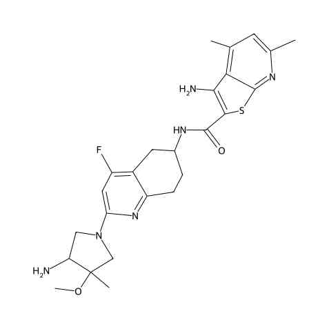 COC1(C)CN(c2cc(F)c3c(n2)CCC(NC(=O)c2sc4nc(C)cc(C)c4c2N)C3)CC1N